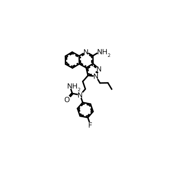 CCCn1nc2c(N)nc3ccccc3c2c1CCN(C(N)=O)c1ccc(F)cc1